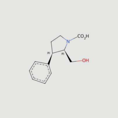 O=C(O)N1CC[C@H](c2ccccc2)[C@@H]1CO